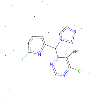 CCCc1c(Cl)ncnc1C(c1cccc(F)n1)n1ccnc1